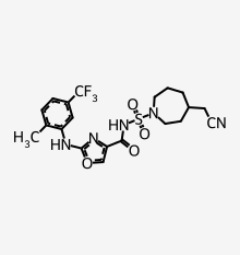 Cc1ccc(C(F)(F)F)cc1Nc1nc(C(=O)NS(=O)(=O)N2CCCC(CC#N)CC2)co1